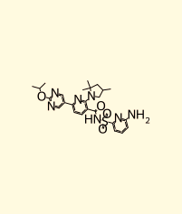 CC1CN(c2nc(-c3cnc(OC(C)C)nc3)ccc2C(=O)NS(=O)(=O)c2cccc(N)n2)C(C)(C)C1